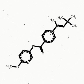 COc1ccc(NC(=O)c2ccc(/C(C)=C/C(C)(C)C)cc2)cn1